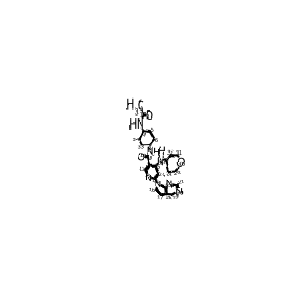 CC(=O)N[C@H]1CC[C@H](NC(=O)c2cnc(-n3ccc4cncnc43)cc2NC2CCOCC2)CC1